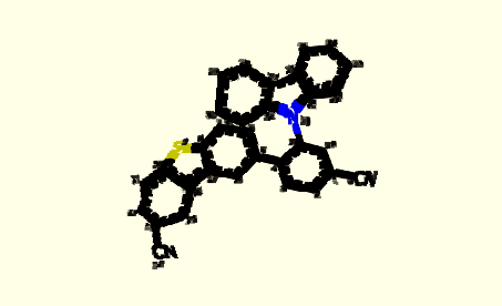 N#Cc1ccc(-c2ccc3sc4ccc(C#N)cc4c3c2)c(-n2c3ccccc3c3ccccc32)c1